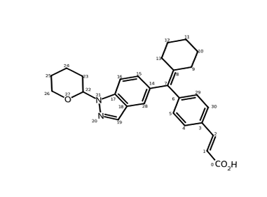 O=C(O)C=Cc1ccc(C(=C2CCCCC2)c2ccc3c(cnn3C3CCCCO3)c2)cc1